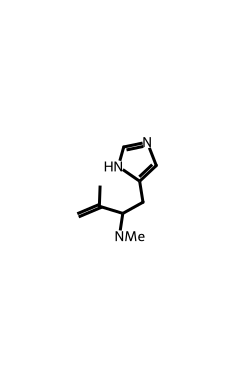 C=C(C)C(Cc1cnc[nH]1)NC